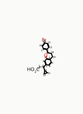 O=C(O)C[C@H](c1ccc2c(c1)OC(c1ccc(Br)cc1)CC2)C1CC1